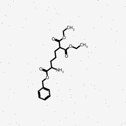 CCOC(=O)C(CCCC(N)C(=O)OCc1ccccc1)C(=O)OCC